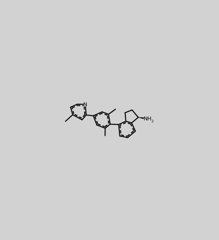 Cc1ccnc(-c2cc(C)c(-c3cccc4c3CC[C@H]4N)c(C)c2)c1